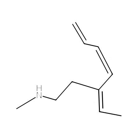 C=C/C=C\C(=C/C)CCNC